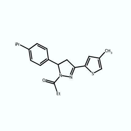 CCC(=O)N1N=C(c2cc(C)cs2)CC1c1ccc(C(C)C)cc1